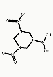 O=[N+]([O-])N1CN(N(O)O)CN([N+](=O)[O-])C1